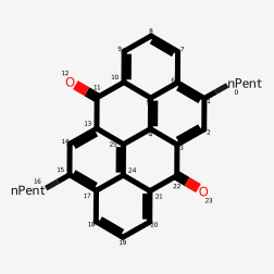 CCCCCc1cc2c3c4c1cccc4c(=O)c1cc(CCCCC)c4cccc(c2=O)c4c1-3